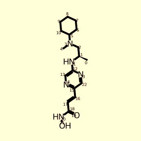 C[C@H](CN(C)C1CCCCC1)Nc1cnc(/C=C/C(=O)NO)cn1